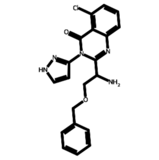 NC(COCc1ccccc1)c1nc2cccc(Cl)c2c(=O)n1-c1cc[nH]n1